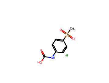 CS(=O)(=O)c1ccc(NC(=O)O)cc1.F